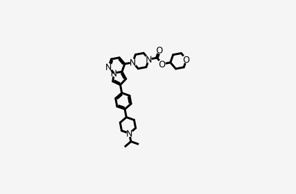 CC(C)N1CCC(c2ccc(-c3cc4c(N5CCN(C(=O)OC6CCOCC6)CC5)ccnn4c3)cc2)CC1